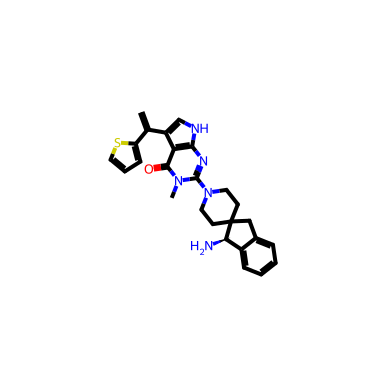 C=C(c1cccs1)c1c[nH]c2nc(N3CCC4(CC3)Cc3ccccc3[C@H]4N)n(C)c(=O)c12